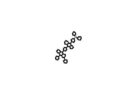 c1ccc(-c2ccc3c(-c4ccc(-c5c6ccccc6c(-c6ccc(N(c7ccccc7)c7ccccc7)cc6)c6ccccc56)cc4)c4ccccc4c(-c4ccccc4)c3c2)cc1